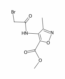 COC(=O)c1onc(C)c1NC(=O)CBr